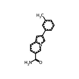 Cc1cccc(-c2cc3ccc(C(N)=O)cn3c2)c1